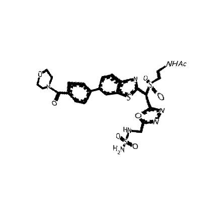 CC(=O)NCCS(=O)(=O)C(c1nnc(CNS(N)(=O)=O)o1)c1nc2ccc(-c3ccc(C(=O)N4CCOCC4)cc3)cc2s1